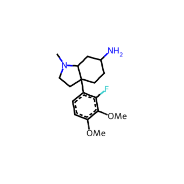 COc1ccc(C23CCC(N)CC2N(C)CC3)c(F)c1OC